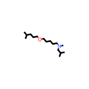 CC(C)CCCOCCCCCN(C)CC(C)C